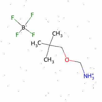 CC(C)(C)COC[NH3+].F[B-](F)(F)F